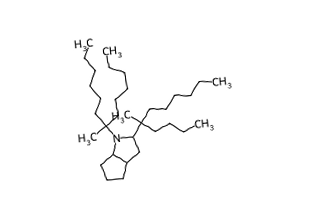 CCCCCCC(C)(CCCC)C1CC2CCCC2N1C(C)(CCCCCC)CCCCCC